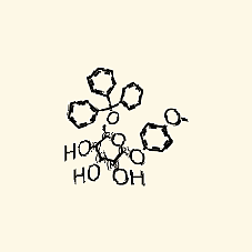 COc1ccc(O[C@H]2O[C@H](COC(c3ccccc3)(c3ccccc3)c3ccccc3)[C@H](O)[C@H](O)[C@H]2O)cc1